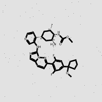 COC(=O)N[C@@H]1[C@H](N)C[C@H](c2ccncc2Nc2ncc3ccc(-c4c(F)cc(C5(OC)CCCC5)cc4F)nn23)C[C@@H]1C